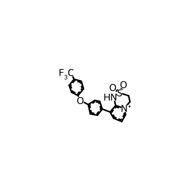 O=S1(=O)CC[n+]2cccc(-c3ccc(Oc4ccc(C(F)(F)F)cc4)cc3)c2N1